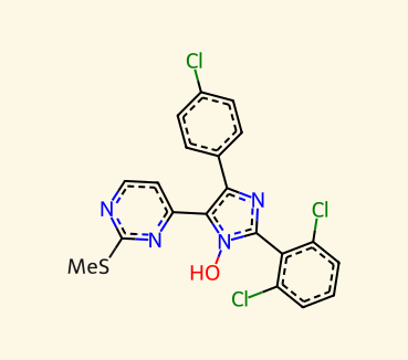 CSc1nccc(-c2c(-c3ccc(Cl)cc3)nc(-c3c(Cl)cccc3Cl)n2O)n1